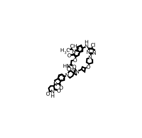 CNC(=O)COc1cc2cc(Nc3nc(N4CCC(OC5CC(N6CC7(CCN(c8ccc9c(c8)C(=O)N(C8CCC(=O)NC8=O)C9)CC7)C6)C5)CC4)ncc3Cl)ccc2n(C(C)C)c1=O